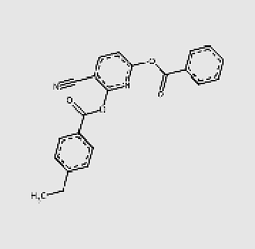 CCc1ccc(C(=O)Oc2nc(OC(=O)c3ccccc3)ccc2C#N)cc1